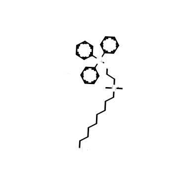 CCCCCCCCCCCCCCCCCC[N+](C)(C)CCO[Si](c1ccccc1)(c1ccccc1)c1ccccc1.[F-]